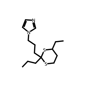 CCCC1(CCCn2ccnc2)SCCC(CC)S1